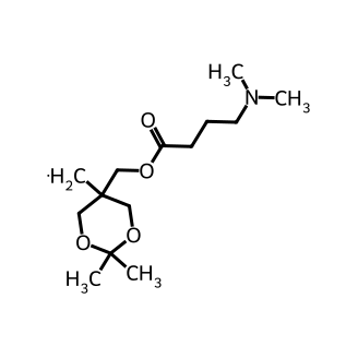 [CH2]C1(COC(=O)CCCN(C)C)COC(C)(C)OC1